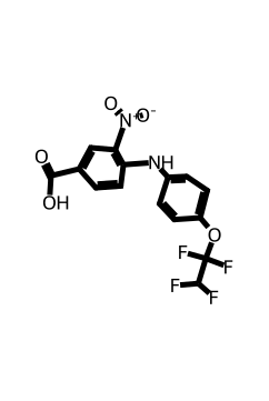 O=C(O)c1ccc(Nc2ccc(OC(F)(F)C(F)F)cc2)c([N+](=O)[O-])c1